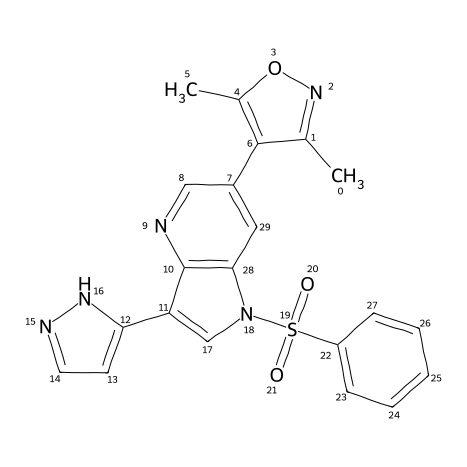 Cc1noc(C)c1-c1cnc2c(-c3ccn[nH]3)cn(S(=O)(=O)c3ccccc3)c2c1